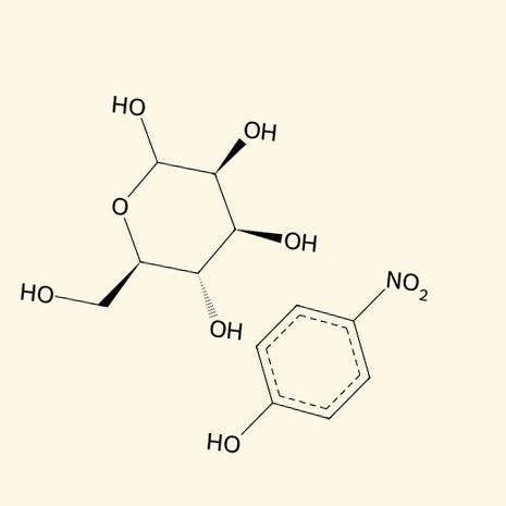 O=[N+]([O-])c1ccc(O)cc1.OC[C@H]1OC(O)[C@@H](O)[C@@H](O)[C@@H]1O